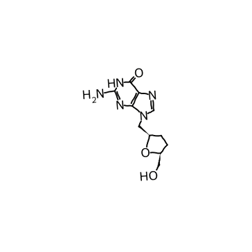 Nc1nc2c(ncn2C[C@H]2CC[C@@H](CO)O2)c(=O)[nH]1